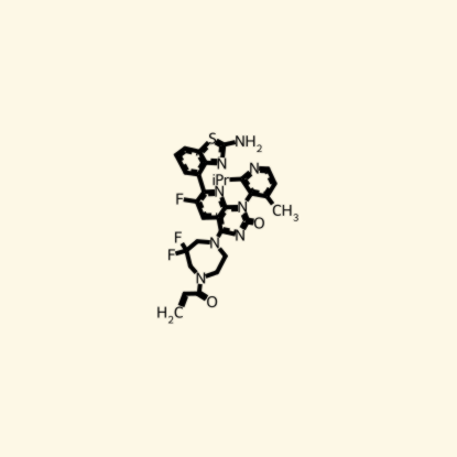 C=CC(=O)N1CCN(c2nc(=O)n(-c3c(C)ccnc3C(C)C)c3nc(-c4cccc5sc(N)nc45)c(F)cc23)CC(F)(F)C1